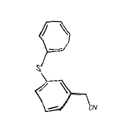 N#CCc1cccc(Sc2ccccc2)c1